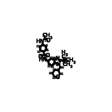 CC(=O)Nc1ccc(S(=O)(=O)Nc2ccc3c(c2)nc(C(C)(C)C)n3CC2CCCOC2)cc1